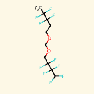 FC(F)C(F)(F)C(F)(F)COCOCCC(F)(F)C(F)(F)C(F)(F)F